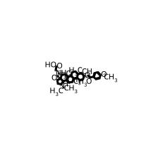 COc1ccc(C(=O)O[C@@H]2CCC3(C)C(CC[C@]4(C)C3CC[C@H]3C5[C@H](C(C)C)CC[C@]5(C(=O)NCC(=O)O)CC[C@]34C)C2(C)C)cc1